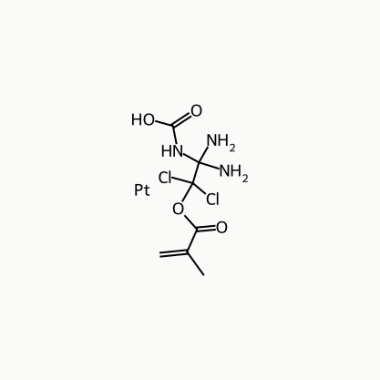 C=C(C)C(=O)OC(Cl)(Cl)C(N)(N)NC(=O)O.[Pt]